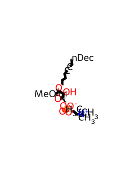 CCCCCCCCCCCCCCCCCCO[C@H]1[C@@H](OC)O[C@H](COP(=O)([O-])OCC[N+](C)(C)C)[C@@H]1O